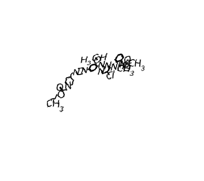 CCCCOC(=O)CN1CCC(CN2CCN(c3ccc(Nc4ncc(Cl)c(Nc5ccccc5N(C)S(C)(=O)=O)n4)c(OC)c3)CC2)CC1